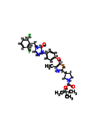 Cc1nc(C2CCN(C(=O)OC(C)(C)C)C2)sc1Oc1ccc(-n2ncn(Cc3c(F)cccc3F)c2=O)cc1